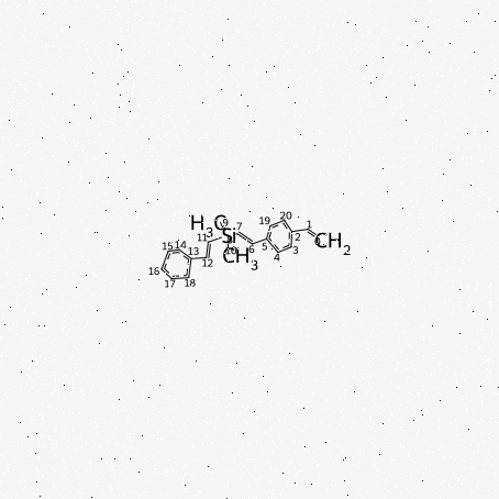 C=Cc1ccc(C=C[Si](C)(C)C=Cc2ccccc2)cc1